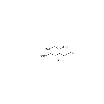 O=C(O)CCC(=O)O.O=C([O-])CCCCC(=O)O.[Li+]